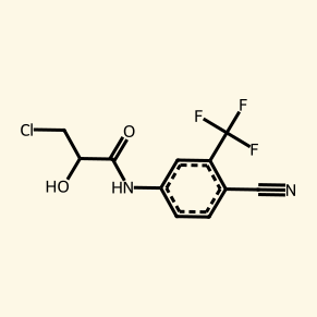 N#Cc1ccc(NC(=O)C(O)CCl)cc1C(F)(F)F